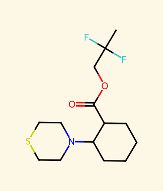 CC(F)(F)COC(=O)C1CCCCC1N1CCSCC1